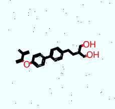 C=C(C)C(=C)Oc1ccc(-c2ccc(CCC(CO)CO)cc2)cc1